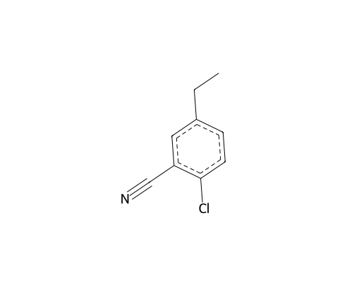 CCc1ccc(Cl)c(C#N)c1